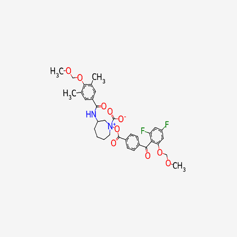 COCOc1cc(F)cc(F)c1C(=O)c1ccc(C(=O)O[N+]2(C(=O)[O-])CCCCC(NC(=O)c3cc(C)c(OCOC)c(C)c3)C2)cc1